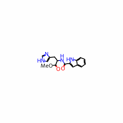 COC(=O)C(Cc1c[nH]cn1)NC(=O)c1cc2ccccc2[nH]1